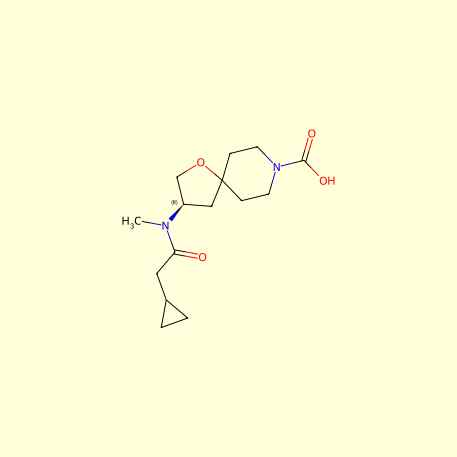 CN(C(=O)CC1CC1)[C@H]1COC2(CCN(C(=O)O)CC2)C1